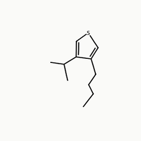 CCCCc1cscc1C(C)C